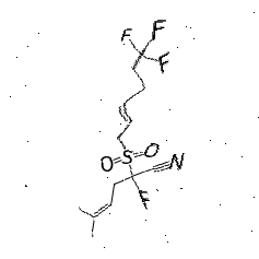 CC(C)=CCC(F)(C#N)S(=O)(=O)CC=CCCC(F)(F)F